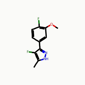 COc1cc(-c2n[nH]c(C)c2F)ccc1F